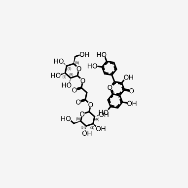 O=C(CC(=O)OC1O[C@H](CO)[C@@H](O)[C@H](O)[C@H]1O)OC1O[C@H](CO)[C@@H](O)[C@H](O)[C@H]1O.O=c1c(O)c(-c2ccc(O)c(O)c2)oc2cc(O)cc(O)c12